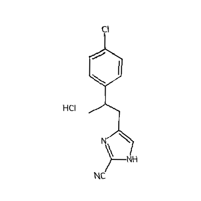 CC(Cc1c[nH]c(C#N)n1)c1ccc(Cl)cc1.Cl